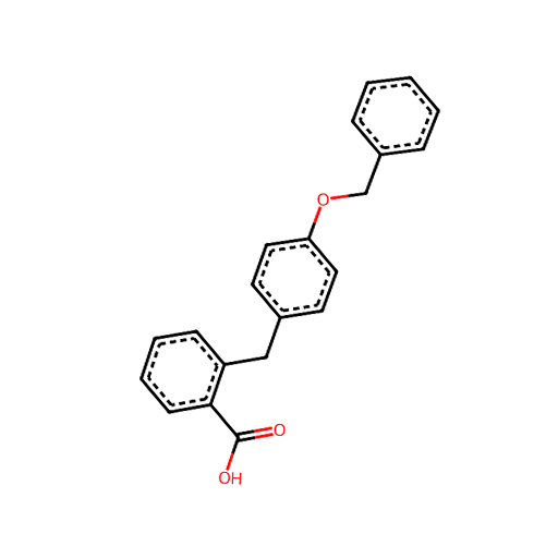 O=C(O)c1ccccc1Cc1ccc(OCc2ccccc2)cc1